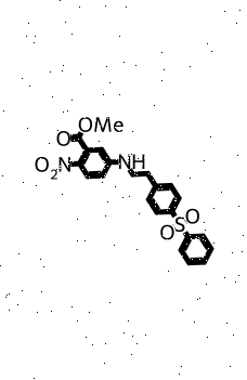 COC(=O)c1cc(NCCc2ccc(S(=O)(=O)c3ccccc3)cc2)ccc1[N+](=O)[O-]